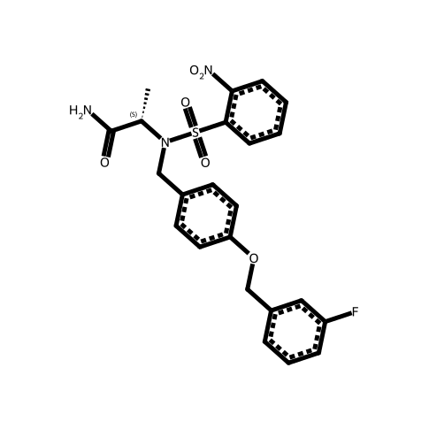 C[C@@H](C(N)=O)N(Cc1ccc(OCc2cccc(F)c2)cc1)S(=O)(=O)c1ccccc1[N+](=O)[O-]